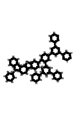 c1ccc(-c2cc(-c3ccccc3)cc(-c3ccc(-c4ccc5c(c4)oc4c5ccc5c4c4ccccc4n5-c4ccccc4)c(-c4nc(-c5ccccc5)nc(-c5ccccc5)n4)c3)c2)cc1